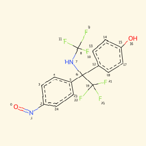 O=Nc1ccc(C(NC(F)(F)F)(c2ccc(O)cc2)C(F)(F)F)cc1